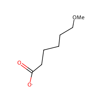 COCCCCCC([O])=O